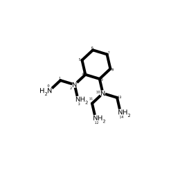 NCN(N)C1CCCCC1N(CN)CN